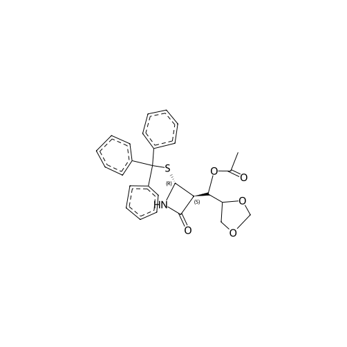 CC(=O)OC(C1COCO1)[C@H]1C(=O)N[C@@H]1SC(c1ccccc1)(c1ccccc1)c1ccccc1